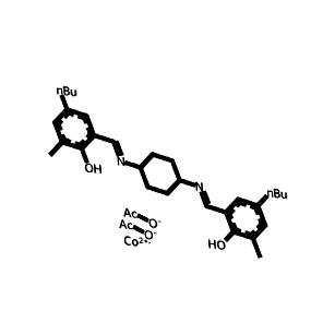 CC(=O)[O-].CC(=O)[O-].CCCCc1cc(C)c(O)c(C=NC2CCC(N=Cc3cc(CCCC)cc(C)c3O)CC2)c1.[Co+2]